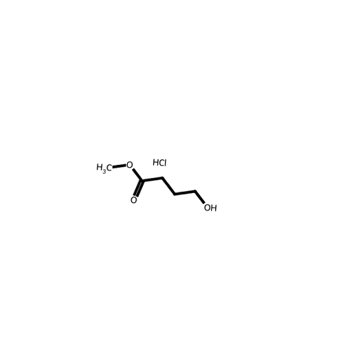 COC(=O)CCCO.Cl